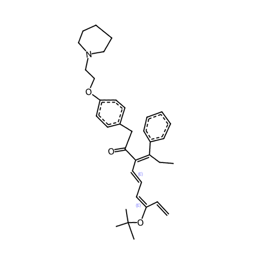 C=C/C(=C\C=C\C(C(=O)Cc1ccc(OCCN2CCCCC2)cc1)=C(CC)c1ccccc1)OC(C)(C)C